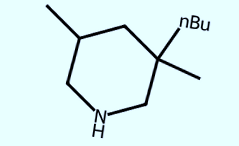 CCCCC1(C)CNCC(C)C1